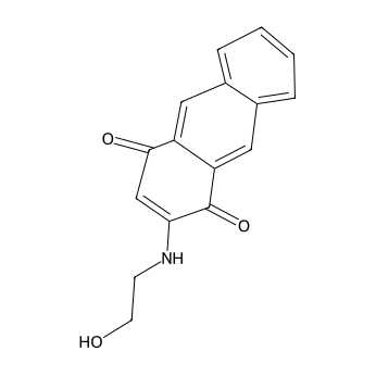 O=C1C=C(NCCO)C(=O)c2cc3ccccc3cc21